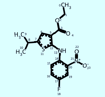 CCOC(=O)c1cc(C(C)C)sc1Nc1ccc(F)cc1[N+](=O)[O-]